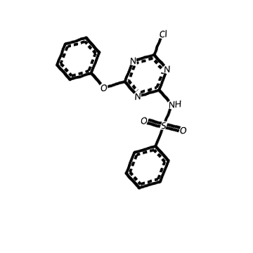 O=S(=O)(Nc1nc(Cl)nc(Oc2ccccc2)n1)c1ccccc1